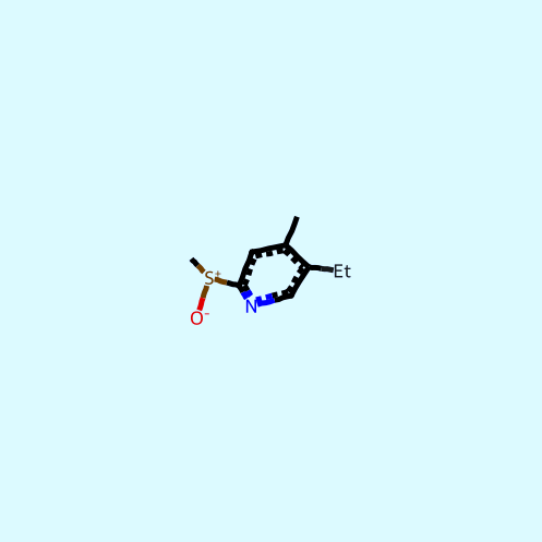 CCc1cnc([S+](C)[O-])cc1C